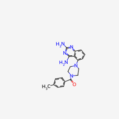 Cc1ccc(C(=O)N2CCN(c3cccc4nc(N)nc(N)c34)CC2)cc1